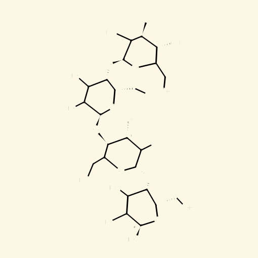 OCC1O[C@@H](O[C@H]2C(O)C(O)[C@H](O[C@@H]3C(CO)O[C@@H](O[C@H]4C(O)C(O)[C@H](O)O[C@H]4CO)C(O)[C@H]3O)O[C@H]2CO)C(O)[C@@H](O)[C@@H]1O